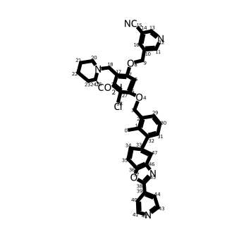 Cc1c(COc2cc(OCc3cncc(C#N)c3)c(CN3CCCC[C@H]3C(=O)O)cc2Cl)cccc1-c1ccc2oc(-c3ccncc3)nc2c1